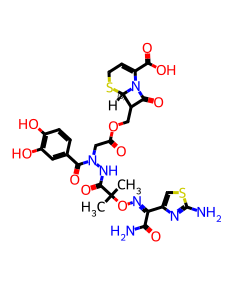 CC(C)(ON=C(C(N)=O)c1csc(N)n1)C(=O)NN(CC(=O)OCC1C(=O)N2C(C(=O)O)=CCS[C@@H]12)C(=O)c1ccc(O)c(O)c1